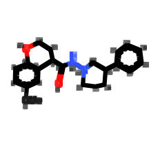 COc1ccc2c(c1)C(C(=O)NN1CCCC(c3ccccc3)C1)CCO2